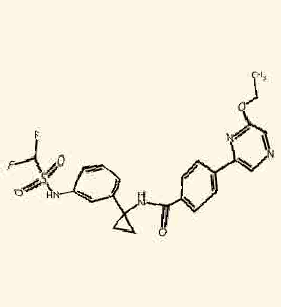 CCOc1cncc(-c2ccc(C(=O)NC3(c4cccc(NS(=O)(=O)C(F)F)c4)CC3)cc2)n1